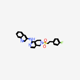 O=S(=O)(CCc1ccc(F)cc1)N1CCc2c(ccnc2Nc2cnc3ccccc3c2)C1